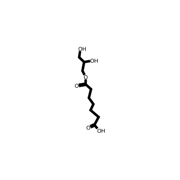 O=C(O)CCCCCC(=O)OCC(O)CO